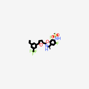 C=Cc1cc(C2=CCC(C(=O)N[C@H](C)c3cc(F)c(NS(C)(=O)=O)c(F)c3)O2)cc(C(F)(F)F)c1